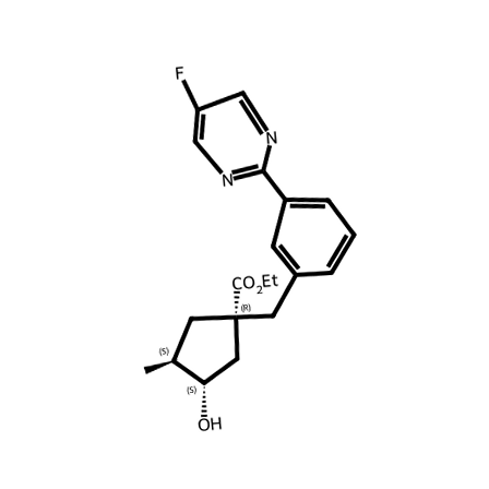 CCOC(=O)[C@@]1(Cc2cccc(-c3ncc(F)cn3)c2)C[C@H](C)[C@@H](O)C1